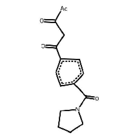 CC(=O)C(=O)CC(=O)c1ccc(C(=O)N2CCCC2)cc1